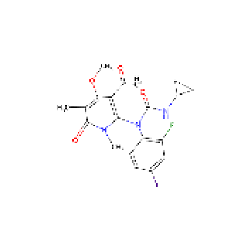 COc1c(C(C)=O)c(N(C(=O)NC2CC2)c2ccc(I)cc2F)n(C)c(=O)c1C